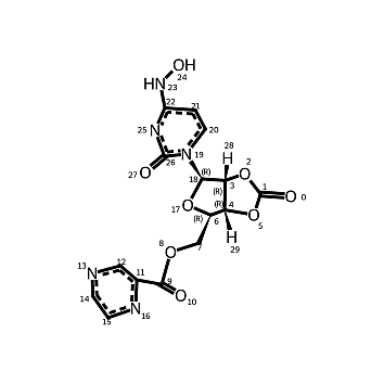 O=C1O[C@@H]2[C@H](O1)[C@@H](COC(=O)c1cnccn1)O[C@H]2n1ccc(NO)nc1=O